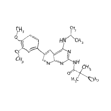 COc1ccc(-c2cnc3nc(NC(=O)C(C)(C)C)nc(NC(C)C)c3c2)cc1OC